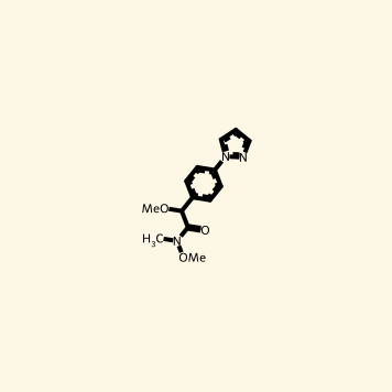 COC(C(=O)N(C)OC)c1ccc(-n2cccn2)cc1